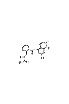 CC(C)C(=O)NCc1ccccc1NCc1cc(Cl)nc2c(F)c(F)ccc12